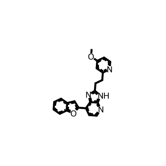 COc1ccnc(CCc2nc3c(-c4cc5ccccc5o4)ccnc3[nH]2)c1